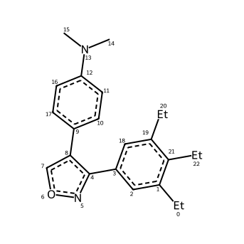 CCc1cc(-c2nocc2-c2ccc(N(C)C)cc2)cc(CC)c1CC